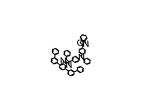 c1ccc(-c2cccc(-c3ccc(-c4cccc(-c5ccccc5)c4)c4nc(-c5ccc(N(c6ccccc6)c6ccc(-c7nc8ccccc8o7)cc6)cc5)c(-c5ccccc5)nc34)c2)cc1